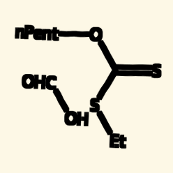 CCCCCOC(=S)SCC.O=CO